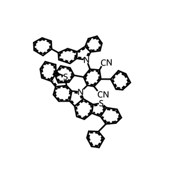 N#Cc1c(-c2ccccc2)c(C#N)c(-n2c3c(ccc4c5ccccc5sc43)c3ccc4c(sc5cccc(-c6ccccc6)c54)c32)c(-c2ccccc2)c1-n1c2ccccc2c2cc(-c3ccccc3)ccc21